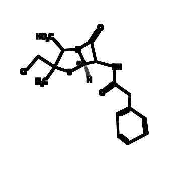 CC1(CCl)S[C@@H]2C(NC(=O)Cc3ccccc3)C(=O)N2C1C(=O)O